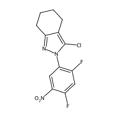 O=[N+]([O-])c1cc(-n2nc3c(c2Cl)CCCC3)c(F)cc1F